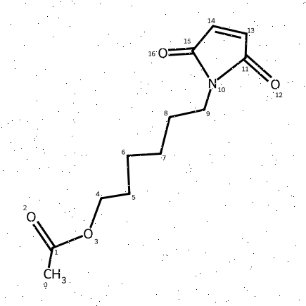 CC(=O)OCCCCCCN1C(=O)C=CC1=O